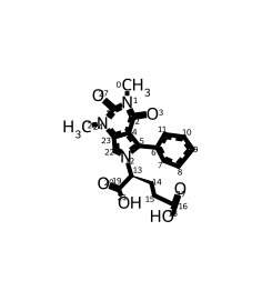 Cn1c(=O)c2c(-c3ccccc3)n([C@@H](CCC(=O)O)C(=O)O)cc2n(C)c1=O